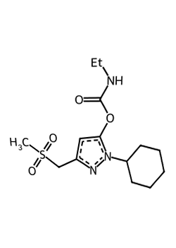 CCNC(=O)Oc1cc(CS(C)(=O)=O)nn1C1CCCCC1